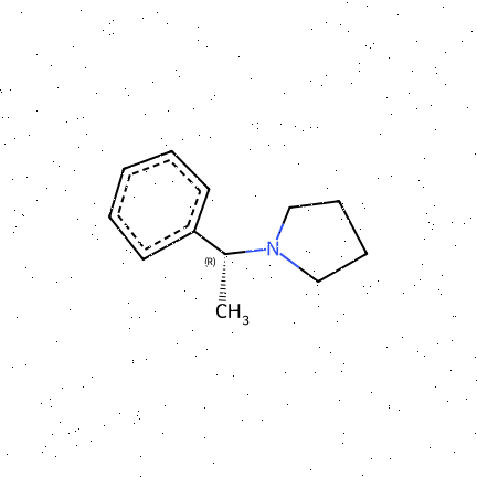 C[C@H](c1ccccc1)N1CCCC1